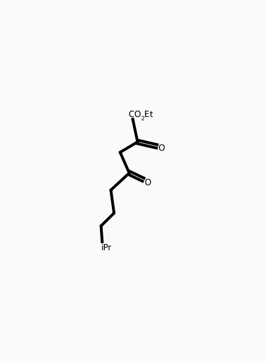 CCOC(=O)C(=O)CC(=O)CCCC(C)C